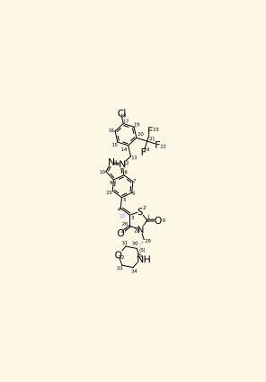 O=C1S/C(=C\c2ccc3c(cnn3Cc3ccc(Cl)cc3C(F)(F)F)c2)C(=O)N1C[C@H]1COCCN1